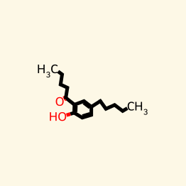 CCCCCc1ccc(O)c(C(=O)CCCC)c1